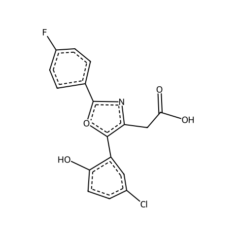 O=C(O)Cc1nc(-c2ccc(F)cc2)oc1-c1cc(Cl)ccc1O